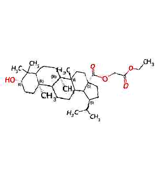 CCOC(=O)COC(=O)[C@]12CC[C@@H](C(C)C)C1C1CCC3[C@@]4(C)CC[C@H](O)C(C)(C)C4CC[C@@]3(C)[C@]1(C)CC2